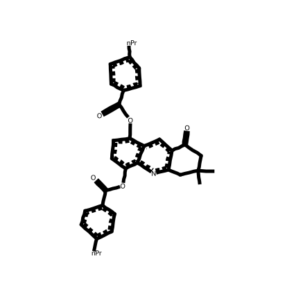 CCCc1ccc(C(=O)Oc2ccc(OC(=O)c3ccc(CCC)cc3)c3nc4c(cc23)C(=O)CC(C)(C)C4)cc1